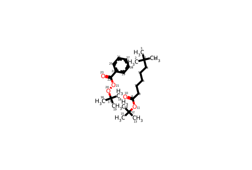 CC(C)(C)CCCCCC(=O)OC(C)(C)C.CC(C)(C)OOC(=O)c1ccccc1